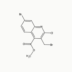 COC(=O)c1c(CBr)c(Cl)nc2cc(Br)ccc12